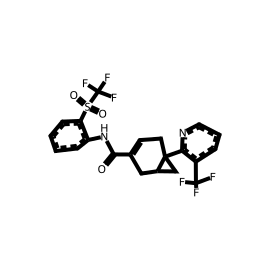 O=C(Nc1ccccc1S(=O)(=O)C(F)(F)F)C1=CCC2(c3ncccc3C(F)(F)F)CC2C1